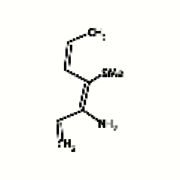 C=C/C(N)=C(\C=C/C)SC